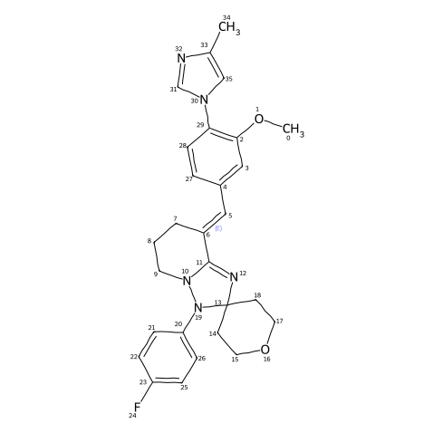 COc1cc(/C=C2\CCCN3C2=NC2(CCOCC2)N3c2ccc(F)cc2)ccc1-n1cnc(C)c1